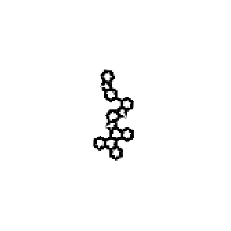 c1cc(-c2ccc3sc4ccccc4c3c2)c2c(c1)oc1c2ccc2sc3c4c5ccccc5c5ccccc5c4c4ccccc4c3c21